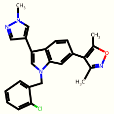 Cc1noc(C)c1-c1ccc2c(-c3cnn(C)c3)cn(Cc3ccccc3Cl)c2c1